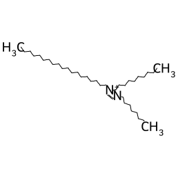 CCCCCCCCCCCCCCCCCCC[n+]1ccn(CCCCCCCC)c1CCCCCCCCC